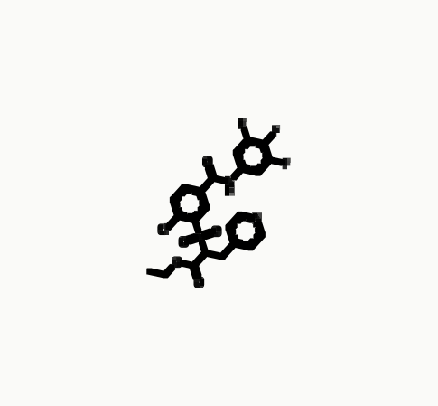 CCOC(=O)C(Cc1ccncc1)S(=O)(=O)c1cc(C(=O)Nc2cc(F)c(F)c(F)c2)ccc1Cl